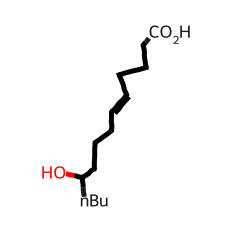 CCCCC(O)CCCC=CCCCC(=O)O